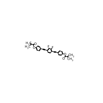 C=C(C)C(=O)Oc1ccc(C#Cc2ccc(C#Cc3ccc(OC(=O)C(=C)C)cc3)c(F)c2F)cc1